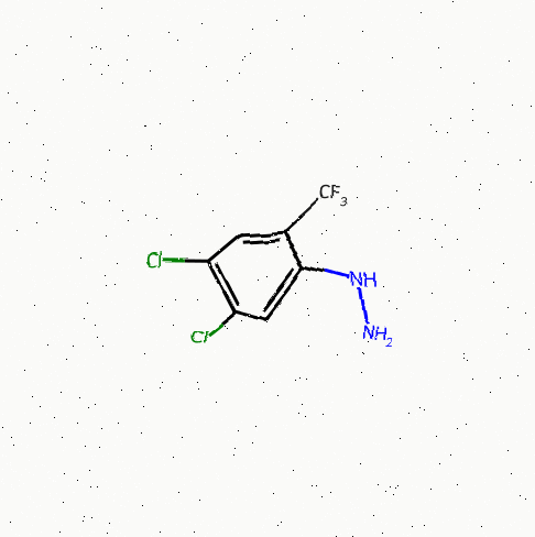 NNc1cc(Cl)c(Cl)cc1C(F)(F)F